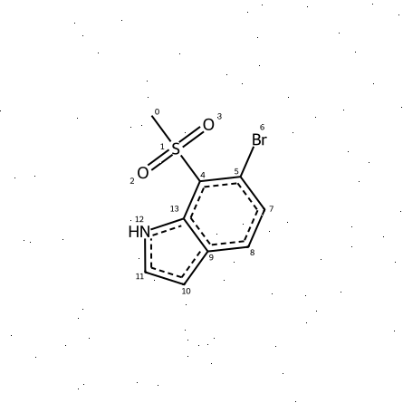 CS(=O)(=O)c1c(Br)ccc2cc[nH]c12